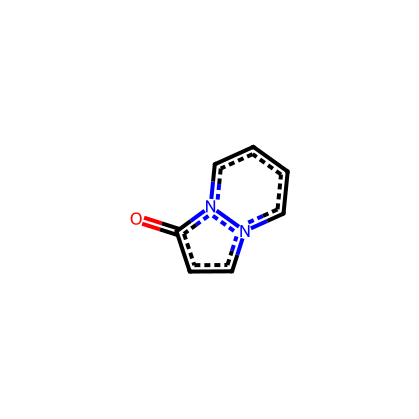 O=c1ccn2ccccn12